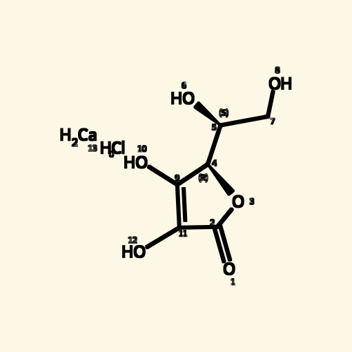 Cl.O=C1O[C@H]([C@@H](O)CO)C(O)=C1O.[CaH2]